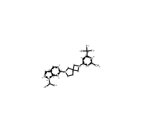 Cc1nc(N2CC3(CCN(c4ncc5cnn(C(F)F)c5n4)C3)C2)cc(C(F)(F)F)n1